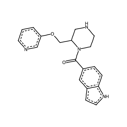 O=C(c1ccc2[nH]ccc2c1)N1CCNCC1COc1cccnc1